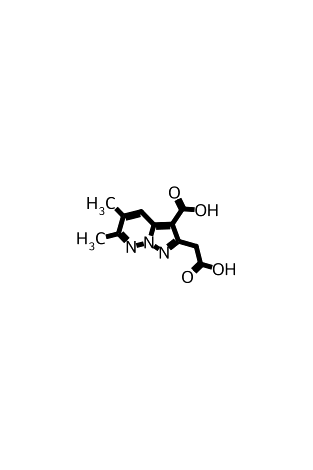 Cc1cc2c(C(=O)O)c(CC(=O)O)nn2nc1C